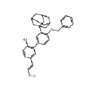 O=C(O)C=Cc1ccc(O)c(-c2ccc(OCc3ccccc3)c(C34CC5CC(CC(C5)C3)C4)c2)c1